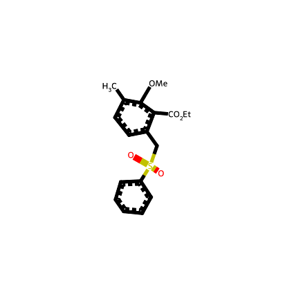 CCOC(=O)c1c(CS(=O)(=O)c2ccccc2)ccc(C)c1OC